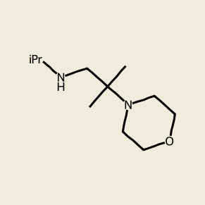 CC(C)NCC(C)(C)N1CCOCC1